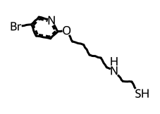 SCCNCCCCCOc1ccc(Br)cn1